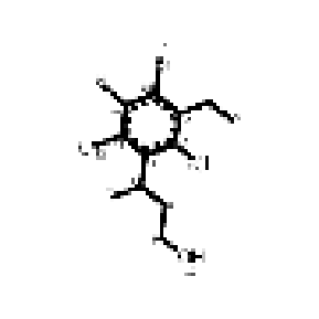 CCc1c(Cl)c(C(C)CCO)c(Cl)c(C)c1Br